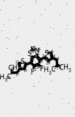 CC(C)Cc1csc(-c2c(F)c(F)c(-c3cc(CC(C)C)cs3)c3snnc23)c1